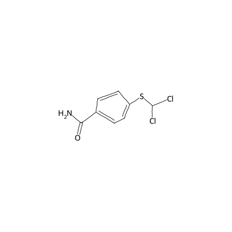 NC(=O)c1ccc(SC(Cl)Cl)cc1